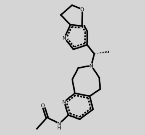 CC(=O)Nc1ccc2c(n1)CCN([C@@H](C)c1cnc3c(c1)OCC3)CC2